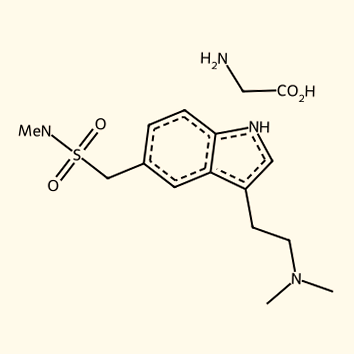 CNS(=O)(=O)Cc1ccc2[nH]cc(CCN(C)C)c2c1.NCC(=O)O